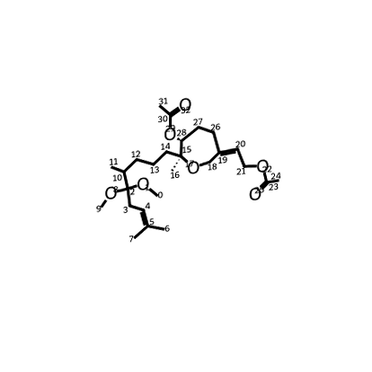 COC(CC=C(C)C)(OC)C(C)CCC[C@]1(C)OCC(=CCOC(C)=O)CC[C@H]1OC(C)=O